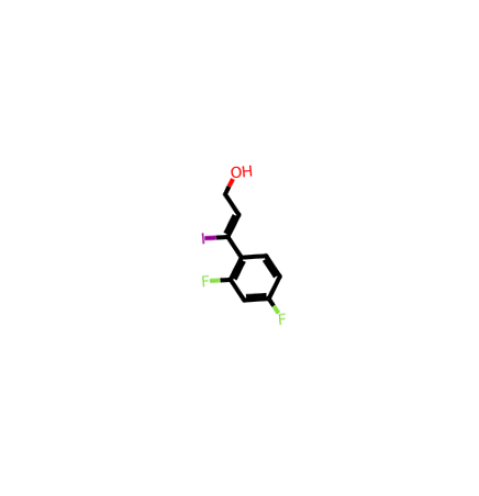 OCC=C(I)c1ccc(F)cc1F